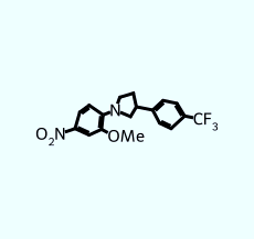 COc1cc([N+](=O)[O-])ccc1N1CCC(c2ccc(C(F)(F)F)cc2)C1